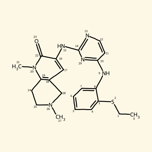 CCSc1ccccc1Nc1ccnc(Nc2cc3c(n(C)c2=O)CCN(C)C3)n1